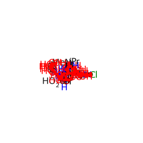 CCC1(NCc2ccc(-c3ccc(Cl)cc3)cc2)C[C@H](O[C@@H]2C(O)C(O)[C@@H](CO)O[C@H]2Oc2c3cc4cc2Oc2ccc(cc2Cl)[C@@H](O)[C@@H](NC(=O)[C@@H](CC(C)C)NC)C(=O)NC(CC(N)=O)C(=O)N[C@H]4C(=O)N[C@H]2C(=O)N[C@H](C(=O)N[C@H](C(=O)O)c4cc(O)c(CNCCCNC(=O)[C@H](O)[C@@H](O)[C@H](O[C@@H]5OC(CCO)[C@H](O)[C@H](O)C5O)[C@H](O)CO)c(O)c4-c4cc2ccc4O)[C@H](O)c2ccc(c(Cl)c2)O3)OC(C)[C@H]1O